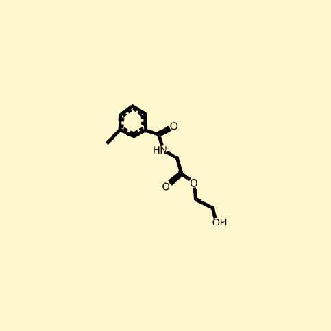 Cc1cccc(C(=O)NCC(=O)OCCO)c1